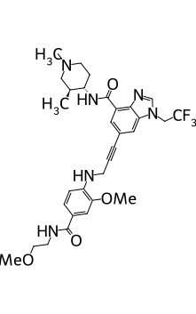 COCCNC(=O)c1ccc(NCC#Cc2cc(C(=O)N[C@H]3CCN(C)C[C@@H]3C)c3ncn(CC(F)(F)F)c3c2)c(OC)c1